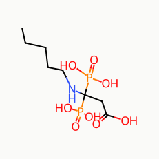 CCCCCNC(CC(=O)O)(P(=O)(O)O)P(=O)(O)O